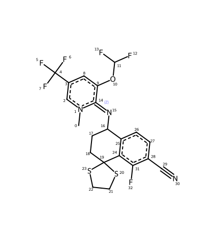 Cn1cc(C(F)(F)F)cc(OC(F)F)/c1=N/C1CCC2(SCCS2)c2c1ccc(C#N)c2F